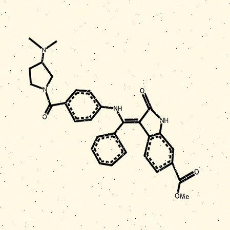 COC(=O)c1ccc2c(c1)NC(=O)/C2=C(\Nc1ccc(C(=O)N2CCC(N(C)C)C2)cc1)c1ccccc1